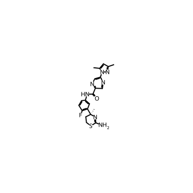 Cc1cc(C)n(-c2cnc(C(=O)Nc3ccc(F)c([C@]4(C)CCSC(N)=N4)c3)cn2)n1